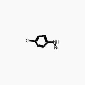 [N]Nc1ccc(Cl)cc1